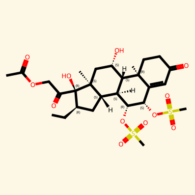 CC[C@@H]1C[C@H]2[C@@H]3[C@@H](OS(C)(=O)=O)[C@@H](OS(C)(=O)=O)C4=CC(=O)CC[C@]4(C)[C@H]3[C@@H](O)C[C@]2(C)[C@@]1(O)C(=O)COC(C)=O